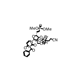 COP(=O)(/C=C/[C@H]1O[C@@H](n2ccc(=O)n(C(=O)c3ccccc3)c2=O)[C@H](CC#N)[C@@H]1OP(O)(O)(C(C)C)C(C)(C)CCC#N)OC